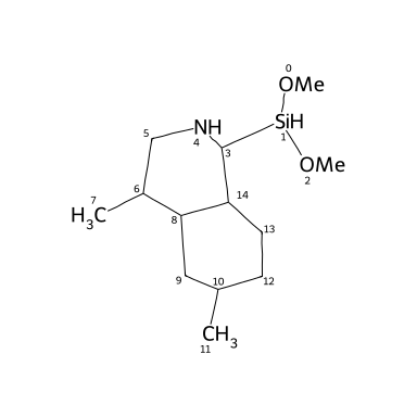 CO[SiH](OC)C1NCC(C)C2CC(C)CCC21